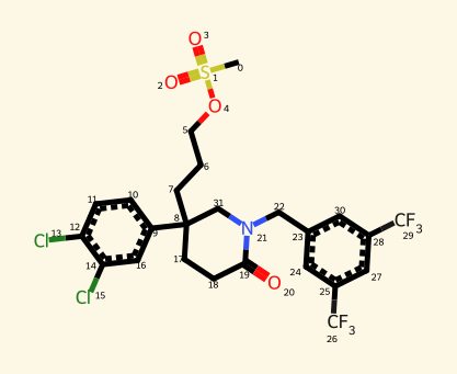 CS(=O)(=O)OCCCC1(c2ccc(Cl)c(Cl)c2)CCC(=O)N(Cc2cc(C(F)(F)F)cc(C(F)(F)F)c2)C1